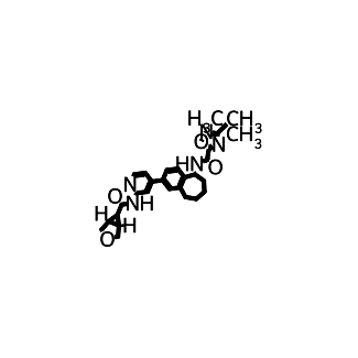 CC(C)(C)c1noc(C(=O)N[C@@H]2CCCCc3cc(-c4ccnc(NC(=O)C5[C@@H]6COC[C@@H]56)c4)ccc32)n1